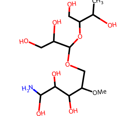 COC(COC(OC(CO)C(C)O)C(O)CO)C(O)C(O)C(N)O